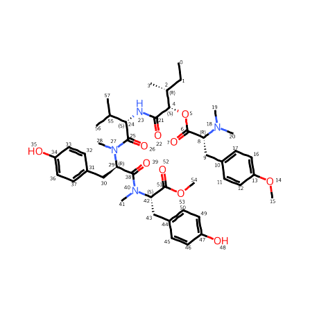 CC[C@@H](C)[C@H](OC(=O)[C@@H](Cc1ccc(OC)cc1)N(C)C)C(=O)N[C@H](C(=O)N(C)[C@H](Cc1ccc(O)cc1)C(=O)N(C)[C@@H](Cc1ccc(O)cc1)C(=O)OC)C(C)C